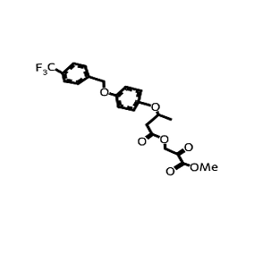 COC(=O)C(=O)COC(=O)CC(C)Oc1ccc(OCc2ccc(C(F)(F)F)cc2)cc1